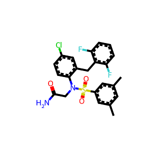 Cc1cc(C)cc(S(=O)(=O)N(CC(N)=O)c2ccc(Cl)cc2Cc2c(F)cccc2F)c1